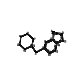 c1nc2cc(CN3CCCCC3)ccc2s1